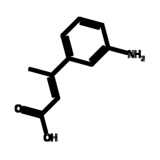 CC(=CC(=O)O)c1cccc(N)c1